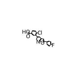 O=C(O)c1ccc(Cl)c(-c2cnc3oc(-c4ccc(F)cc4)cc3c2)c1